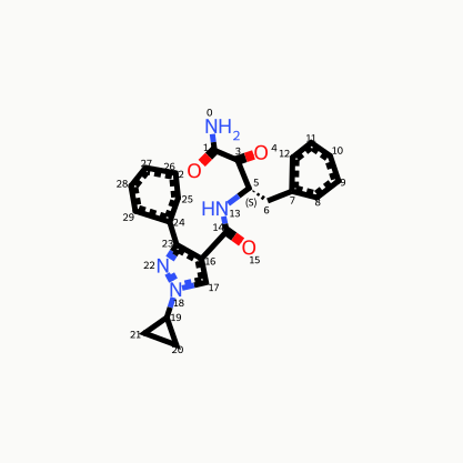 NC(=O)C(=O)[C@H](Cc1ccccc1)NC(=O)c1cn(C2CC2)nc1-c1ccccc1